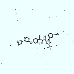 CC(C)(C)c1cc(NC(=O)Nc2ccc(Oc3ccnc(-n4cnnc4)c3)cc2F)n(-c2cccc(C#N)c2)n1